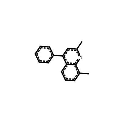 Cc1cc(-c2ccccc2)c2cccc(C)c2n1